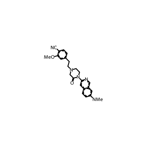 CNc1ccc2cc(N3CCN(CCc4ccc(C#N)c(OC)c4)CC3=O)ncc2c1